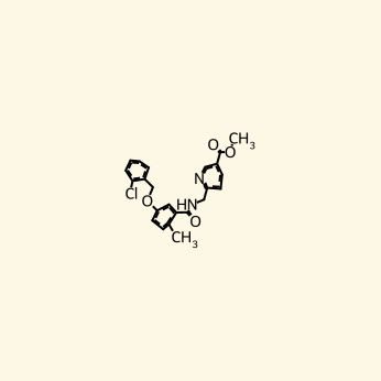 COC(=O)c1ccc(CNC(=O)c2cc(OCc3ccccc3Cl)ccc2C)nc1